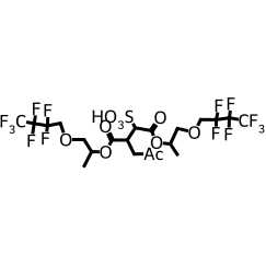 CC(=O)CC(C(=O)OC(C)COCC(F)(F)C(F)(F)C(F)(F)F)C(C(=O)OC(C)COCC(F)(F)C(F)(F)C(F)(F)F)S(=O)(=O)O